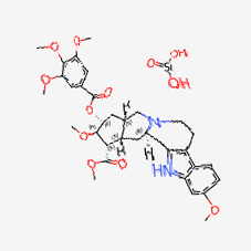 COC(=O)[C@H]1[C@H]2C[C@@H]3c4[nH]c5cc(OC)ccc5c4CCN3C[C@H]2C[C@@H](OC(=O)c2cc(OC)c(OC)c(OC)c2)[C@@H]1OC.O=[Si](O)O